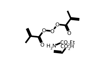 C=C(C)C(=O)OOOC(=O)C(=C)C.C=CC(=O)O.CCOC(N)=O